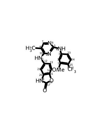 COc1cc(Nc2ncc(C)c(Nc3ccc4oc(=O)[nH]c4c3)n2)ccc1C(F)(F)F